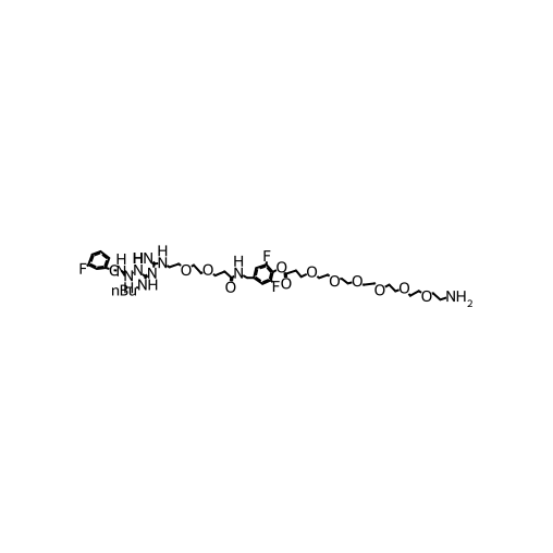 CCCCN/C(=N/C(=N)NCCOCCOCCC(=O)NCc1cc(F)c(OC(=O)CCOCCOCCOCCOCCOCCOCCN)c(F)c1)NNNCc1cccc(F)c1